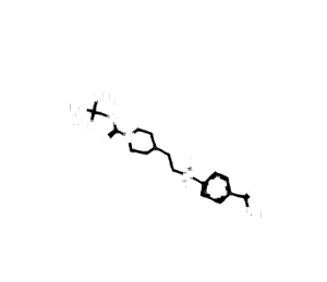 CC(C)(C)OC(=O)N1CCC(CCS(=O)(=O)c2ccc(C(N)=O)cc2)CC1